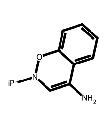 CC(C)N1C=C(N)c2ccccc2O1